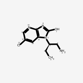 CC[C@H](CN)n1c(O)nc2ncc(Cl)cc21